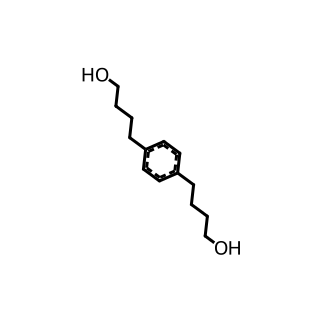 OCCCCc1ccc(CCCCO)cc1